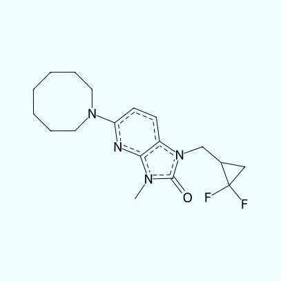 Cn1c(=O)n(CC2CC2(F)F)c2ccc(N3CCCCCCC3)nc21